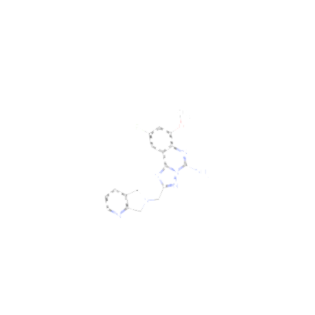 COc1cc(F)cc2c1nc(N)n1nc(CN3Cc4cccnc4C3)nc21